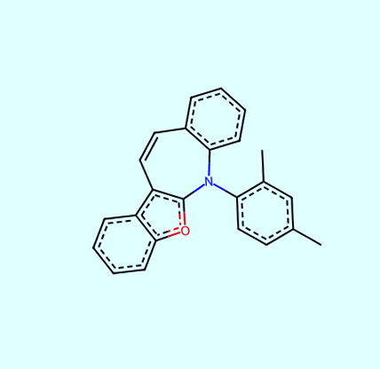 Cc1ccc(N2c3ccccc3C=Cc3c2oc2ccccc32)c(C)c1